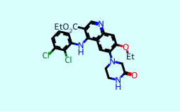 CCOC(=O)c1cnc2cc(OCC)c(N3CCNC(=O)C3)cc2c1Nc1cccc(Cl)c1Cl